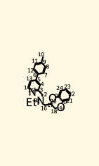 CCN(Cc1cc(-c2ccc(C)cc2)ccn1)CC1COc2ccccc2O1